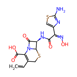 C=CC1=C(C(=O)O)N2C(=O)[C@@H](NC(=O)/C(=N\O)c3csc(N)n3)C2SC1